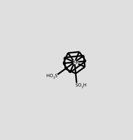 O=S(=O)(O)[C]12[CH]3[CH]4[CH]5[C]1(S(=O)(=O)O)[Fe]43521678[CH]2[CH]1[CH]6[CH]7[CH]28